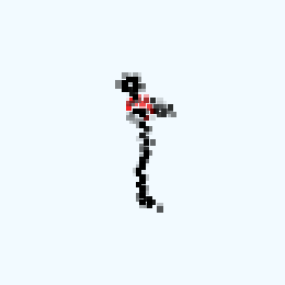 CCCCCCC#CCCCCCC[C@H]1OC(C)(C)O[C@H]1[C@H](CC)OC(=O)c1ccccc1